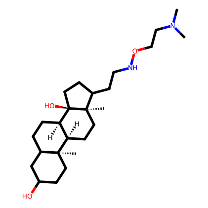 CN(C)CCONCCC1CC[C@@]2(O)[C@@H]3CCC4CC(O)CC[C@]4(C)[C@@H]3CC[C@]12C